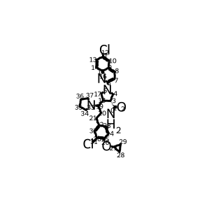 NC(=O)[C@H]1CN(c2ccc3cc(Cl)ccc3n2)CC1C(CCc1ccc(OC2CC2)c(Cl)c1)N1CCCC1